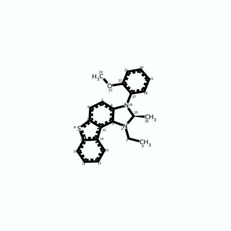 CCN1c2c(ccc3sc4ccccc4c23)N(c2ccccc2OC)[C@H]1C